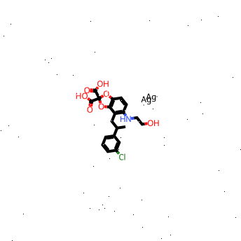 CC(Cc1c(NCCO)ccc2c1OC(C(=O)O)(C(=O)O)O2)c1cccc(Cl)c1.[Ag].[Ag]